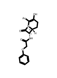 CC(=O)C1=C(O)CC[C@@H]2[C@H](NC(=O)COc3ccccc3)C(=O)N12